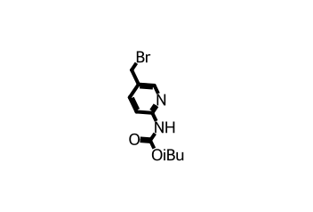 CC(C)COC(=O)Nc1ccc(CBr)cn1